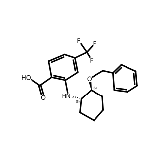 O=C(O)c1ccc(C(F)(F)F)cc1N[C@H]1CCCC[C@@H]1OCc1ccccc1